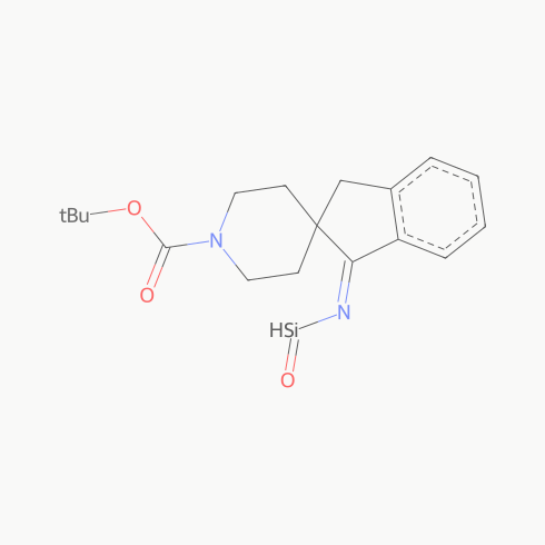 CC(C)(C)OC(=O)N1CCC2(CC1)Cc1ccccc1/C2=N/[SiH]=O